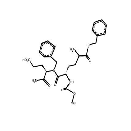 CC(C)(C)OC(=O)N[C@@H](CCC(N)C(=O)OCc1ccccc1)C(=O)N(Cc1ccccc1)[C@H](CCC(=O)O)C(N)=O